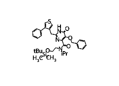 CC(C)N(CCO[Si](C)(C)C(C)(C)C)C(=O)c1nc(Cc2cscc2-c2ccccc2)[nH]c(=O)c1OCc1ccccc1